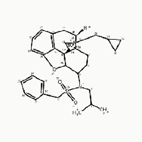 CC(C)CN(C1CC[C@@]2(O)[C@H]3Cc4cccc5c4[C@@]2(CCN3CC2CC2)C1O5)S(=O)(=O)Cc1ccccc1